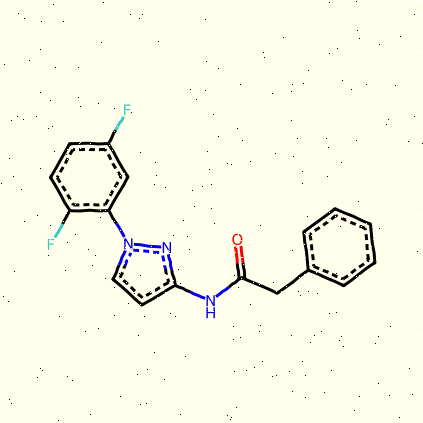 O=C(Cc1ccccc1)Nc1ccn(-c2cc(F)ccc2F)n1